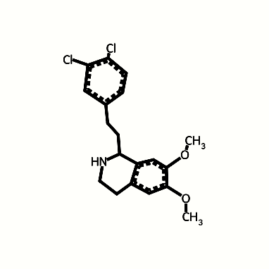 COc1cc2c(cc1OC)C(CCc1ccc(Cl)c(Cl)c1)NCC2